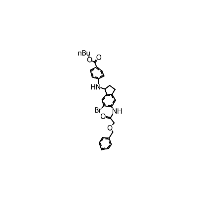 CCCCOC(=O)c1ccc(NC2CCc3cc(NC(=O)COCc4ccccc4)c(Br)cc32)cc1